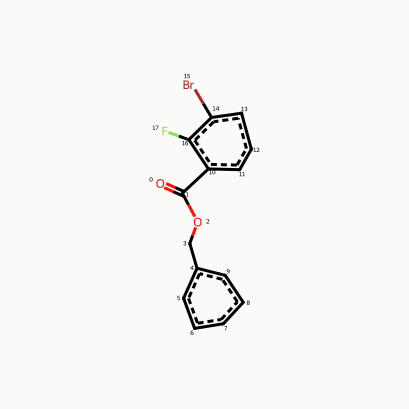 O=C(OCc1ccccc1)c1cccc(Br)c1F